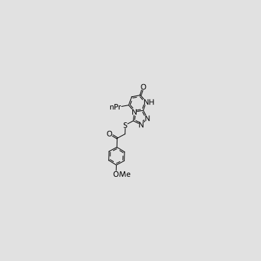 CCCc1cc(=O)[nH]c2nnc(SCC(=O)c3ccc(OC)cc3)n12